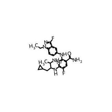 CCn1nc(F)c2cc(Nc3nc(NC(CC4CC4)C(C)N)c(F)cc3C(N)=O)ccc21